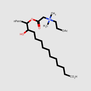 CCCCCC(OC(=O)C[N+](C)(C)CCOC(C)=O)C(O)CCCCCCCCCCC(=O)O